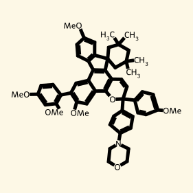 COc1ccc(C2(c3ccc(N4CCOCC4)cc3)C=Cc3c4c(c5cc(-c6ccc(OC)cc6OC)c(OC)cc5c3O2)-c2ccc(OC)cc2C42CC(C)(C)CC(C)(C)C2)cc1